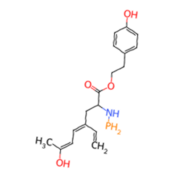 C=C/C(=C\C=C(/C)O)CC(NP)C(=O)OCCc1ccc(O)cc1